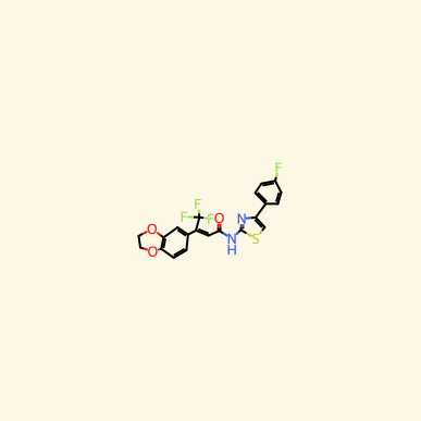 O=C(C=C(c1ccc2c(c1)OCCO2)C(F)(F)F)Nc1nc(-c2ccc(F)cc2)cs1